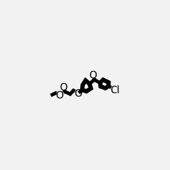 CCOC(=O)CCOc1ccc(C(=O)c2ccc(Cl)cc2)cc1